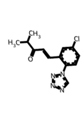 CC(C)C(=O)/C=C/c1cc(Cl)ccc1-n1cnnn1